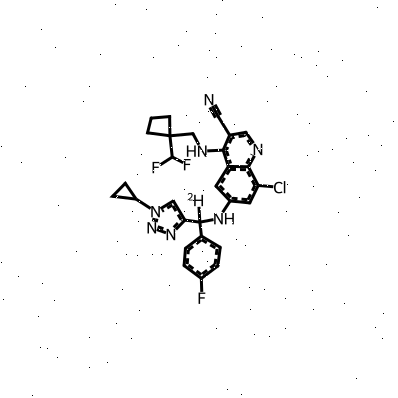 [2H]C(Nc1cc(Cl)c2ncc(C#N)c(NCC3(C(F)F)CCC3)c2c1)(c1ccc(F)cc1)c1cn(C2CC2)nn1